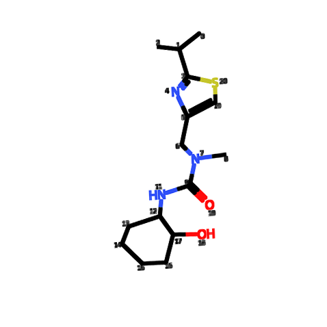 CC(C)c1nc(CN(C)C(=O)NC2CCCCC2O)cs1